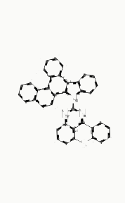 c1ccc2c(c1)Sc1cccc3nc(-n4c5ccccc5c5c6ccccc6c6c7ccccc7ccc6c54)nc-2c13